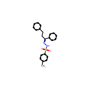 Cc1ccc(S(=O)(=O)NN=C(CCc2ccccc2)c2ccccc2)cc1